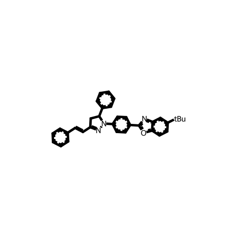 CC(C)(C)c1ccc2oc(-c3ccc(N4N=C(C=Cc5ccccc5)CC4c4ccccc4)cc3)nc2c1